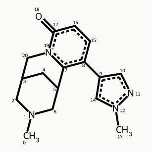 CN1CC2CC(C1)c1c(-c3cnn(C)c3)ccc(=O)n1C2